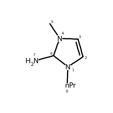 CCCN1C=CN(C)C1N